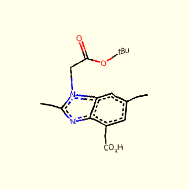 Cc1cc(C(=O)O)c2nc(C)n(CC(=O)OC(C)(C)C)c2c1